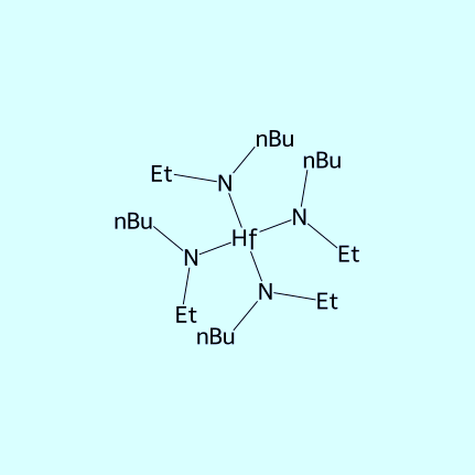 CCCC[N](CC)[Hf]([N](CC)CCCC)([N](CC)CCCC)[N](CC)CCCC